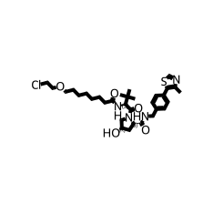 Cc1ncsc1-c1ccc(CNC(=O)[C@@H]2C[C@@H](O)CN2C(=O)[C@@H](NC(=O)CCCCCCCOCCCl)C(C)(C)C)cc1